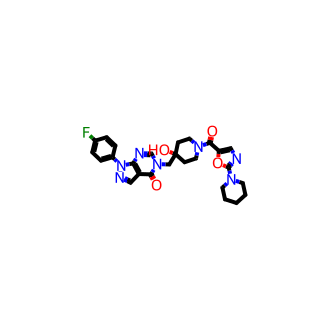 O=C(c1cnc(N2CCCCC2)o1)N1CCC(O)(Cn2cnc3c(cnn3-c3ccc(F)cc3)c2=O)CC1